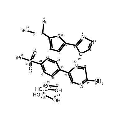 BrCc1ccc(-c2nnco2)s1.CC(C)C.CC(C)C.CC(C)S(=O)(=O)c1ccc(-c2cnc(N)cn2)cc1.O=C(O)O.O=C(O)O